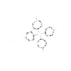 Fc1ccc([B-](c2ccc(F)cc2)(c2ccc(F)cc2)c2ccc(F)cc2)cc1.O.O.[Na+]